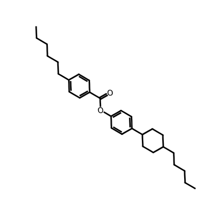 CCCCCCc1ccc(C(=O)Oc2ccc(C3CCC(CCCCC)CC3)cc2)cc1